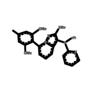 CCCN(c1ccccn1)c1c(SC)nn2c(-c3c(OC)cc(C)cc3OC)cccc12